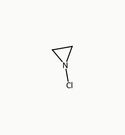 ClN1CC1